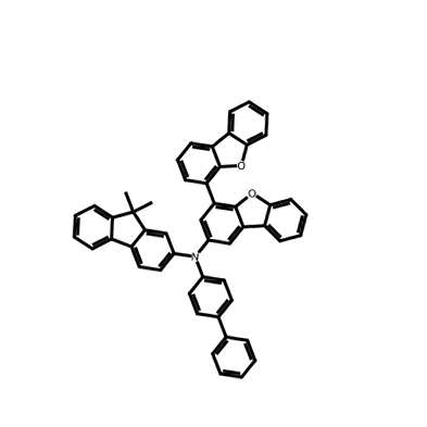 CC1(C)c2ccccc2-c2ccc(N(c3ccc(-c4ccccc4)cc3)c3cc(-c4cccc5c4oc4ccccc45)c4oc5ccccc5c4c3)cc21